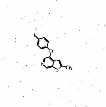 N#Cc1cc2c(Oc3ccc(I)cc3)cncc2s1